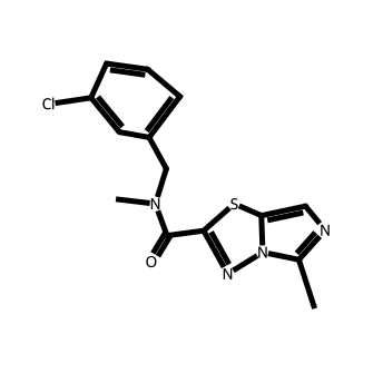 Cc1ncc2sc(C(=O)N(C)Cc3cccc(Cl)c3)nn12